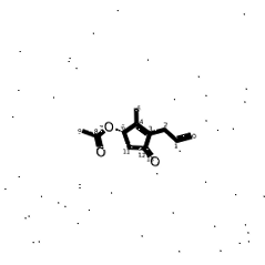 C=CCC1=C(C)[C@@H](OC(C)=O)CC1=O